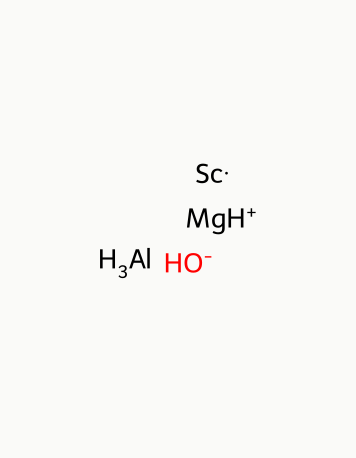 [AlH3].[MgH+].[OH-].[Sc]